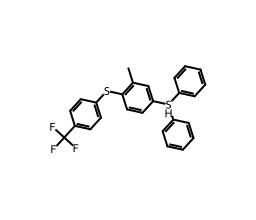 Cc1cc([SH](c2ccccc2)c2ccccc2)ccc1Sc1ccc(C(F)(F)F)cc1